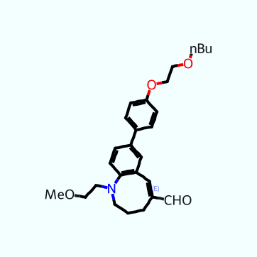 CCCCOCCOc1ccc(-c2ccc3c(c2)/C=C(/C=O)CCCN3CCOC)cc1